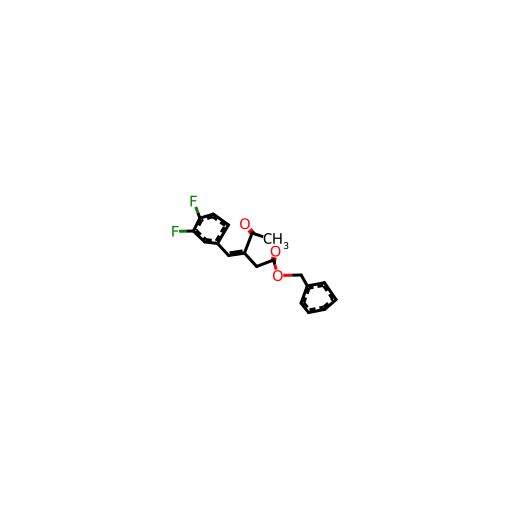 CC(=O)/C(=C\c1ccc(F)c(F)c1)CC(=O)OCc1ccccc1